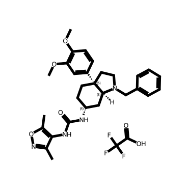 COc1ccc([C@@]23CC[C@@H](NC(=O)Nc4c(C)noc4C)C[C@@H]2N(Cc2ccccc2)CC3)cc1OC.O=C(O)C(F)(F)F